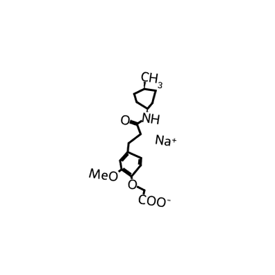 COc1cc(CCC(=O)N[C@H]2CC[C@H](C)CC2)ccc1OCC(=O)[O-].[Na+]